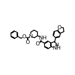 O=C(NC1CCCN(C(=O)OCc2ccccc2)C1)c1ccc2[nH]nc(-c3ccc4c(c3)CCO4)c2c1